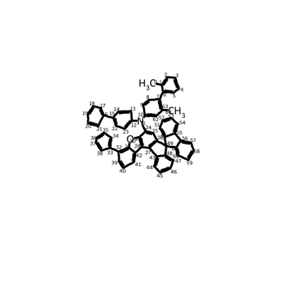 Cc1ccccc1-c1ccc(N(c2ccc(-c3ccccc3)cc2)c2cc3c(c4c2oc2c(-c5ccccc5)cccc24)-c2ccccc2C32c3ccccc3-c3ccccc32)cc1C